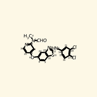 CN(C=O)c1cc(Oc2ccc3sc(Nc4ccc(Cl)c(Cl)c4)nc3c2)ccn1